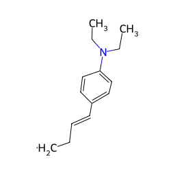 [CH2]CC=Cc1ccc(N(CC)CC)cc1